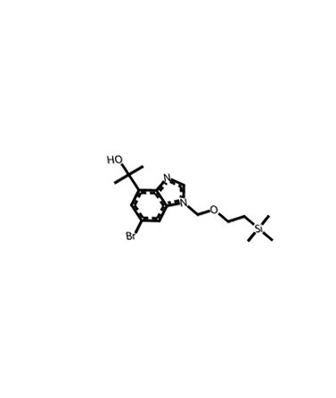 CC(C)(O)c1cc(Br)cc2c1ncn2COCC[Si](C)(C)C